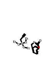 C#CC[Si](OCC)(OCC)OCC.O=C1OCc2cc3cc(c2)CN1C3